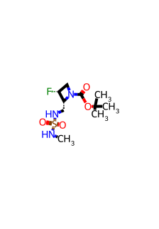 CNS(=O)(=O)NC[C@@H]1[C@H](F)CN1C(=O)OC(C)(C)C